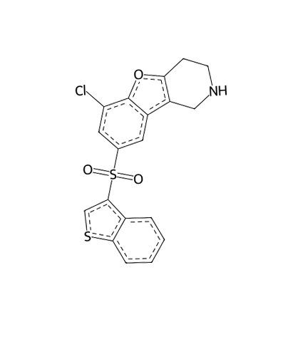 O=S(=O)(c1cc(Cl)c2oc3c(c2c1)CNCC3)c1csc2ccccc12